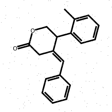 Cc1ccccc1C1COC(=O)C/C1=C\c1ccccc1